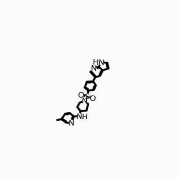 Cc1ccc(NC2CCN(S(=O)(=O)c3ccc(-c4cnc5[nH]ccc5c4)cc3)CC2)nc1